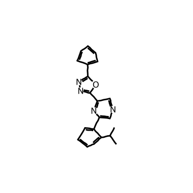 CC(C)c1ccccc1-c1cncc(-c2nnc(-c3ccccc3)o2)n1